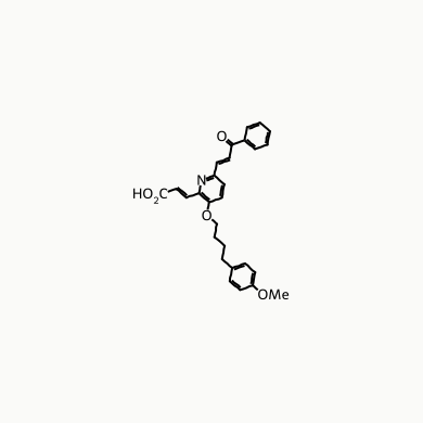 COc1ccc(CCCCOc2ccc(C=CC(=O)c3ccccc3)nc2C=CC(=O)O)cc1